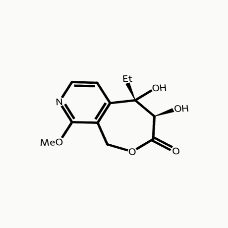 CC[C@]1(O)c2ccnc(OC)c2COC(=O)[C@@H]1O